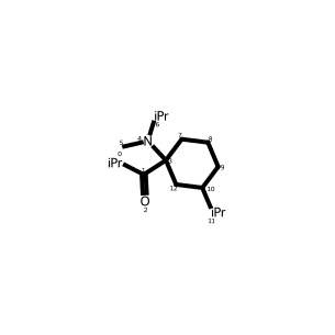 CC(C)C(=O)C1(N(C)C(C)C)CCCC(C(C)C)C1